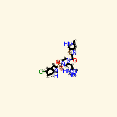 CC1Cc2nc(C(=O)N3CCN(S(=O)(=O)c4cc5cc(Cl)ccc5[nH]4)CC3Cc3nnn[nH]3)sc2CN1